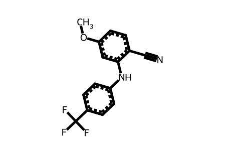 COc1ccc(C#N)c(Nc2ccc(C(F)(F)F)cc2)c1